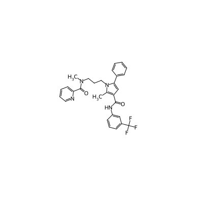 Cc1c(C(=O)Nc2cccc(C(F)(F)F)c2)cc(-c2ccccc2)n1CCCN(C)C(=O)c1ccccn1